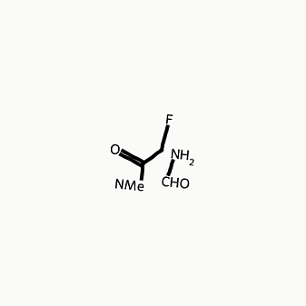 CNC(=O)CF.NC=O